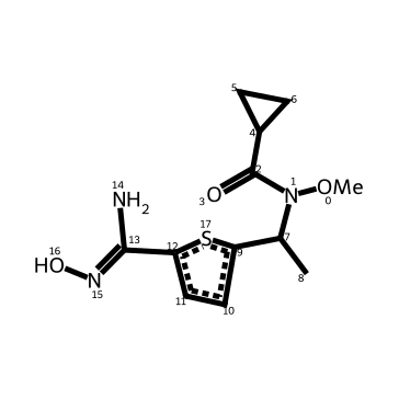 CON(C(=O)C1CC1)C(C)c1ccc(C(N)=NO)s1